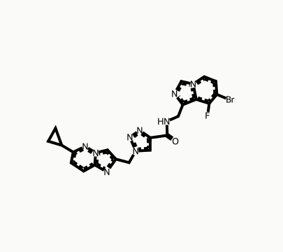 O=C(NCc1ncn2ccc(Br)c(F)c12)c1cn(Cc2cn3nc(C4CC4)ccc3n2)nn1